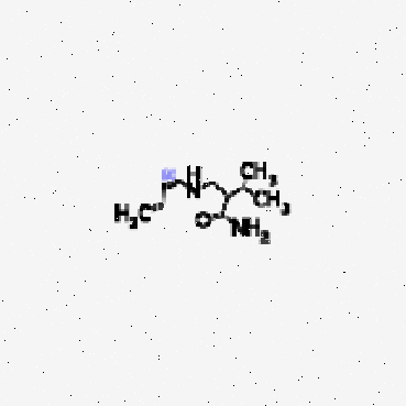 C=C/C=C\NCC(C(N)=O)C(C)C